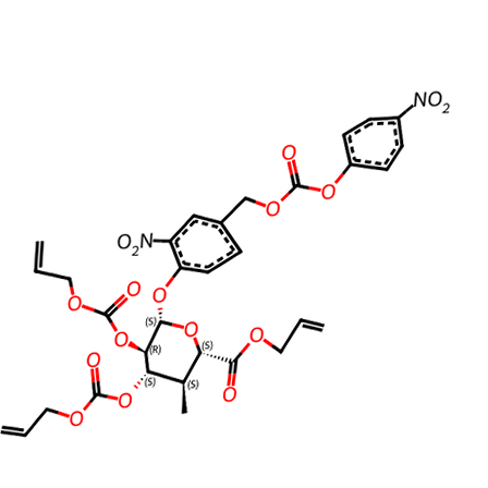 C=CCOC(=O)O[C@H]1[C@H](Oc2ccc(COC(=O)Oc3ccc([N+](=O)[O-])cc3)cc2[N+](=O)[O-])O[C@H](C(=O)OCC=C)[C@@H](C)[C@@H]1OC(=O)OCC=C